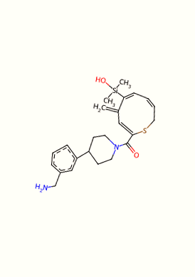 C=C1/C=C(/C(=O)N2CCC(c3cccc(CN)c3)CC2)SC/C=C\C=C/1[Si](C)(C)O